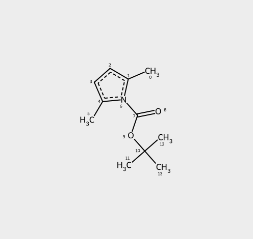 Cc1ccc(C)n1C(=O)OC(C)(C)C